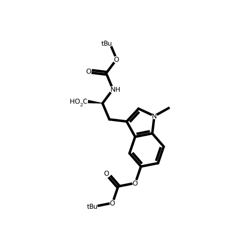 Cn1cc(C[C@H](NC(=O)OC(C)(C)C)C(=O)O)c2cc(OC(=O)OC(C)(C)C)ccc21